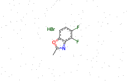 Br.Cc1nc2c(F)c(F)ccc2o1